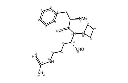 CN[C@H](Cc1ccccc1)C(=O)N([C@H](C=O)CCCNC(=N)N)N1CCC1